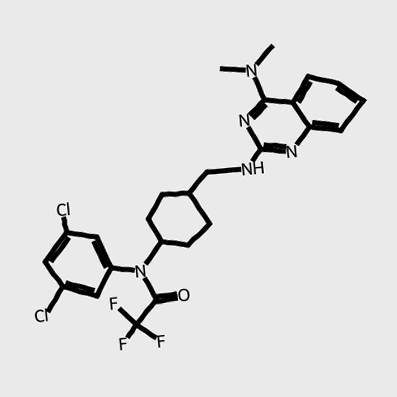 CN(C)c1nc(NCC2CCC(N(C(=O)C(F)(F)F)c3cc(Cl)cc(Cl)c3)CC2)nc2ccccc12